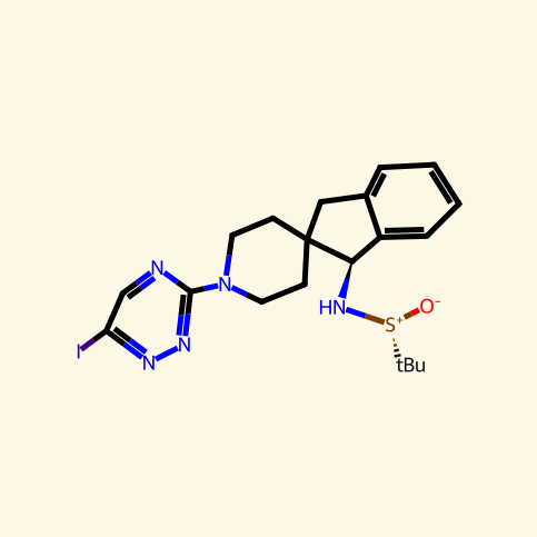 CC(C)(C)[S@@+]([O-])N[C@@H]1c2ccccc2CC12CCN(c1ncc(I)nn1)CC2